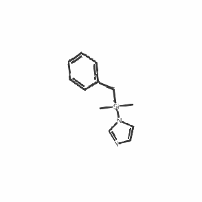 C[Si](C)(Cc1ccccc1)n1ccnc1